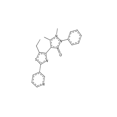 CCc1sc(-c2cccnc2)nc1-c1c(C)n(C)n(-c2ccccc2)c1=O